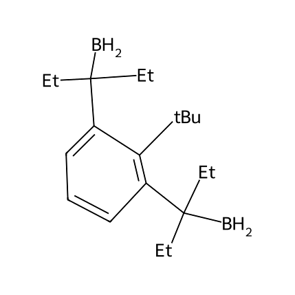 BC(CC)(CC)c1cccc(C(B)(CC)CC)c1C(C)(C)C